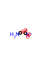 COc1cc([N+](=O)[O-])ccc1Oc1ccc(N)cc1